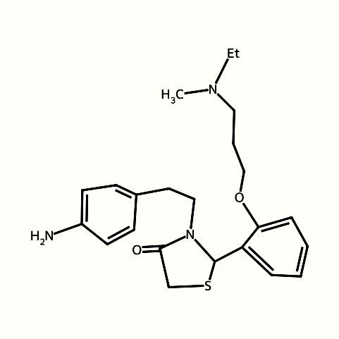 CCN(C)CCCOc1ccccc1C1SCC(=O)N1CCc1ccc(N)cc1